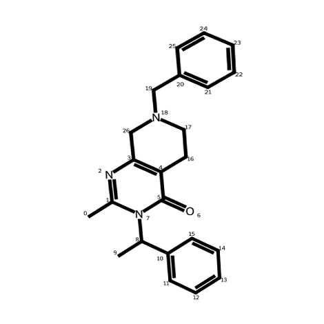 Cc1nc2c(c(=O)n1C(C)c1ccccc1)CCN(Cc1ccccc1)C2